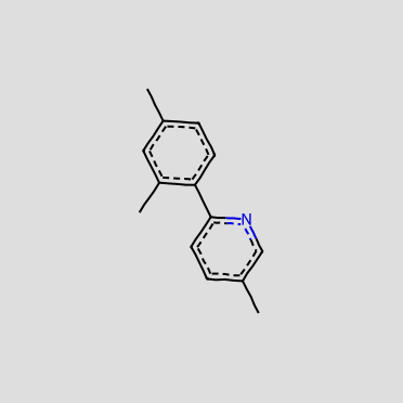 Cc1ccc(-c2ccc(C)cc2C)nc1